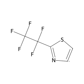 FC(F)(F)C(F)(F)c1n[c]cs1